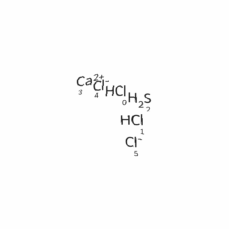 Cl.Cl.S.[Ca+2].[Cl-].[Cl-]